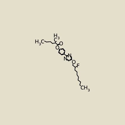 CCCCCCCCC(F)COc1cnc(-c2ccc(OC(=O)C(C)CCCCC)cc2)nc1